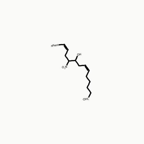 CCCCC/C=C\CC(C(O)C/C=C\CCCC[C]=O)[N+](=O)[O-]